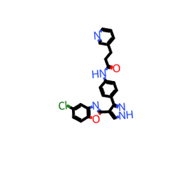 O=C(CCc1cccnc1)Nc1ccc(-c2n[nH]cc2-c2nc3cc(Cl)ccc3o2)cc1